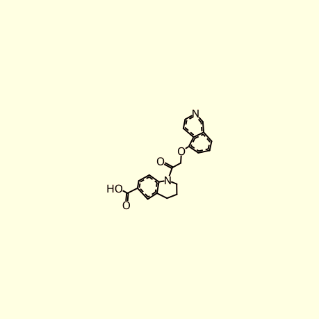 O=C(O)c1ccc2c(c1)CCCN2C(=O)COc1cccc2cnccc12